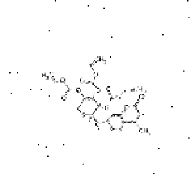 C=COC(=O)O[C@@H]1[C@@H](OC(=O)OC=C)[C@@H](Oc2ccc3c(C)cc(=O)oc3c2)SC[C@H]1OC(=O)OC=C